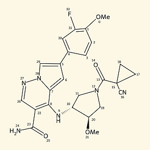 COc1ccc(-c2cc3c(N[C@@H]4CN(C(=O)C5(C#N)CC5)C[C@H]4OC)c(C(N)=O)cnn3c2)cc1F